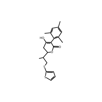 Cc1cc(C)c(C2=C(O)CC(C(C)CSc3cccs3)OC2=O)c(C)c1